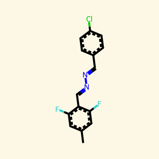 Cc1cc(F)c(/C=N/N=C/c2ccc(Cl)cc2)c(F)c1